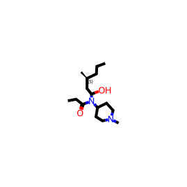 CCC[C@H](C)CC(O)N(C(=O)CC)C1CCN(C)CC1